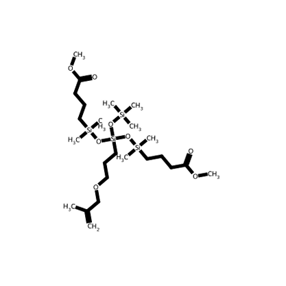 C=C(C)COCCC[Si](O[Si](C)(C)C)(O[Si](C)(C)CCCC(=O)OC)O[Si](C)(C)CCCC(=O)OC